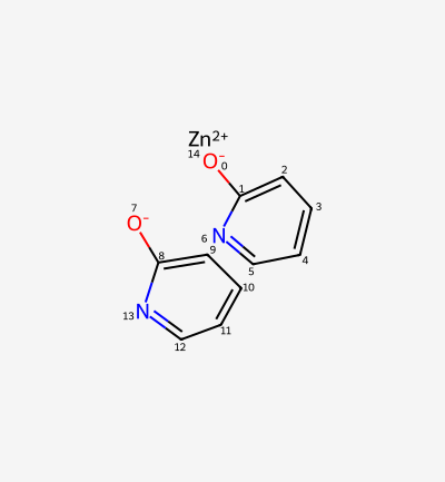 [O-]c1ccccn1.[O-]c1ccccn1.[Zn+2]